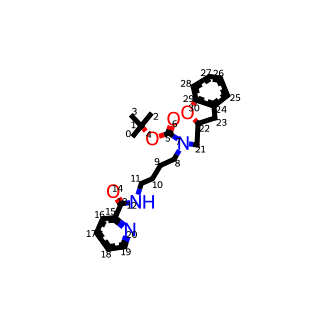 CC(C)(C)OC(=O)N(CCCCNC(=O)c1ccccn1)CC1Cc2ccccc2O1